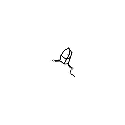 CON=C1C2CC3CC(C2)C(=O)C1C3